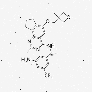 Cc1nc(N[C@H](C)c2cc(N)cc(C(F)(F)F)c2)c2cc(OCC3(C)COC3)c3c(c2n1)CCC3